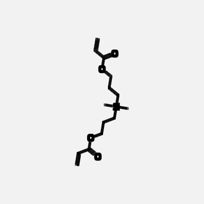 C=CC(=O)OCCC[Si](C)(C)CCCOC(=O)C=C